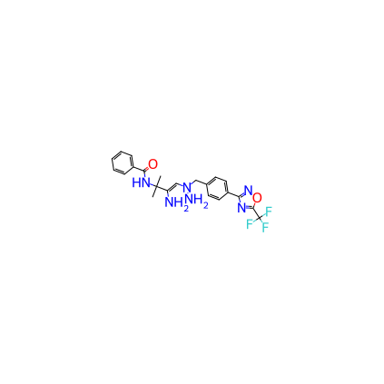 CC(C)(NC(=O)c1ccccc1)/C(N)=C/N(N)Cc1ccc(-c2noc(C(F)(F)F)n2)cc1